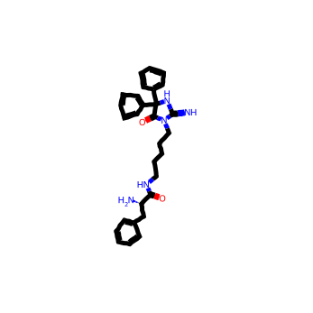 N=C1NC(c2ccccc2)(c2ccccc2)C(=O)N1CCCCCNC(=O)[C@@H](N)Cc1ccccc1